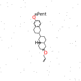 C=CCO[C@@H]1CC[C@@H]2CC(C3CCc4cc(OCCCCC)ccc4C3)CCC2C1